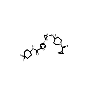 O=C(NC1CCC(F)(F)CC1)c1cc([C@@H]2C[C@H]2NC2CCN(C(=O)C3CC3)CC2)cs1